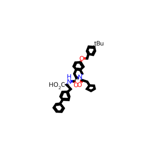 CC(C)(C)c1ccc(COc2ccc3c(c2)CN(C(=O)CC2CCCC2)[C@H](C(=O)N[C@@H](Cc2ccc(-c4ccccc4)cc2)C(=O)O)C3)cc1